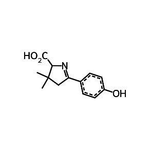 CC1(C)CC(c2ccc(O)cc2)=NC1C(=O)O